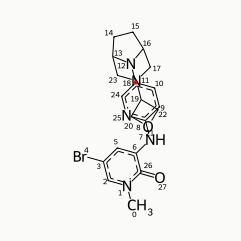 Cn1cc(Br)cc(Nc2ccc(N3C4CCC3CN(C3COC3)C4)cn2)c1=O